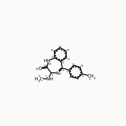 CNC1N=C(c2ccc(C)cc2)c2ccccc2NC1=O